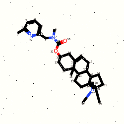 Cc1cccc(CN(C)C(=O)OC2CCC3(C)C(=CCC4C3CCC35CN(C)C(C)C3CCC45)C2)n1